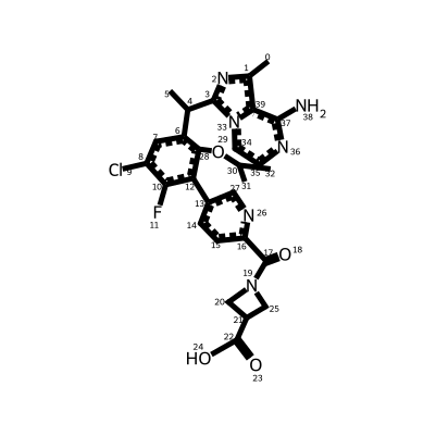 Cc1nc(C(C)c2cc(Cl)c(F)c(-c3ccc(C(=O)N4CC(C(=O)O)C4)nc3)c2OC(C)C)n2ccnc(N)c12